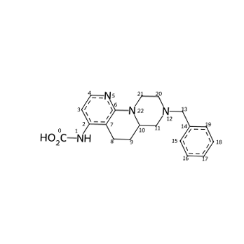 O=C(O)Nc1ccnc2c1CCC1CN(Cc3ccccc3)CCN21